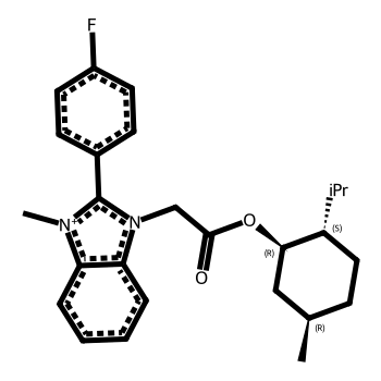 CC(C)[C@@H]1CC[C@@H](C)C[C@H]1OC(=O)Cn1c(-c2ccc(F)cc2)[n+](C)c2ccccc21